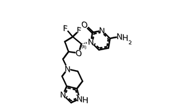 Nc1ccn([C@@H]2OC(CN3CCc4[nH]cnc4C3)CC2(F)F)c(=O)n1